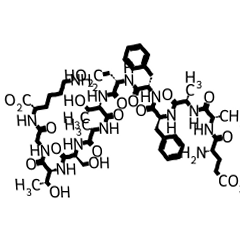 C[C@H](NC(=O)[C@H](C)NC(=O)[C@@H](N)CCC(=O)O)C(=O)N[C@@H](Cc1ccccc1)C(=O)N[C@@H](Cc1ccccc1)C(=O)N[C@@H](CC(=O)O)C(=O)N[C@H](C(=O)N[C@@H](C)C(=O)N[C@@H](CO)C(=O)N[C@H](C(=O)NCC(=O)N[C@@H](CCCCN)C(=O)O)[C@@H](C)O)[C@@H](C)O